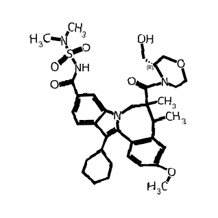 COc1ccc2c(c1)C(C)C(C)(C(=O)N1CCOC[C@H]1CO)Cn1c-2c(C2CCCCC2)c2ccc(C(=O)NS(=O)(=O)N(C)C)cc21